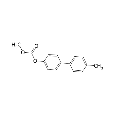 COC(=O)Oc1ccc(-c2ccc(C)cc2)cc1